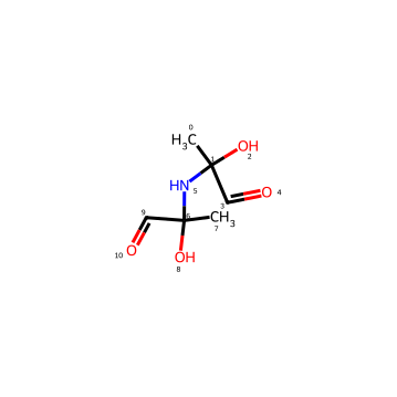 CC(O)(C=O)NC(C)(O)C=O